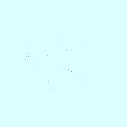 CCCCCCCCCCCCc1ccsc1C(Cc1nnn[nH]1)C(=O)CCC(=O)O